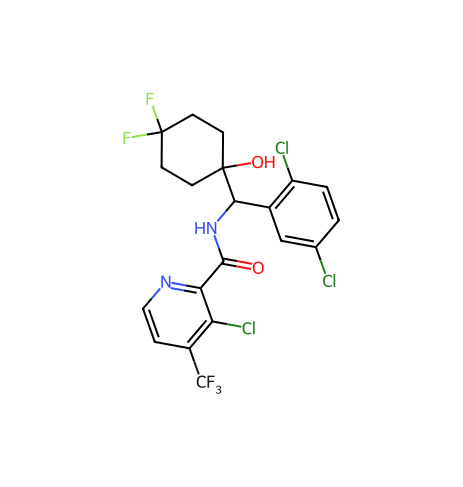 O=C(NC(c1cc(Cl)ccc1Cl)C1(O)CCC(F)(F)CC1)c1nccc(C(F)(F)F)c1Cl